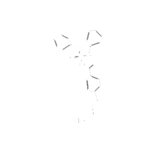 CCCCc1ccc(C(=O)OP(=O)(Oc2ccccc2)Oc2ccccc2)cc1